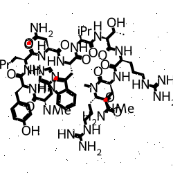 CNC(=O)[C@H](CCCNC(=N)N)N(C)C(=O)[C@H](CCC(N)=O)NC(=O)[C@H](CCCNC(=N)N)NC(=O)[C@@H](NC(=O)[C@@H](NC(=O)[C@H](Cc1c[nH]c2ccccc12)NC(=O)[C@H](CC(N)=O)NC(=O)[C@H](CC(C)C)NC(=O)[C@H](Cc1ccc(O)cc1)NC(=O)[C@H](Cc1c[nH]cn1)NC)C(C)C)[C@@H](C)O